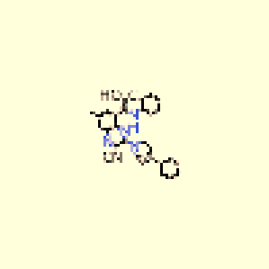 Cc1cc([C@@H](C)Nc2ccccc2C(=O)O)c2nc(N3CC4CC3CC4c3ccccc3)c(C#N)nc2c1